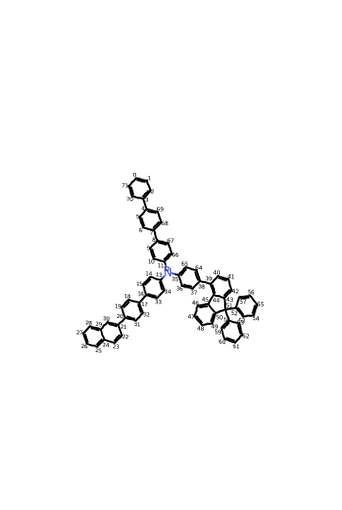 c1ccc(-c2ccc(-c3ccc(N(c4ccc(-c5ccc(-c6ccc7ccccc7c6)cc5)cc4)c4ccc(-c5cccc6c5-c5ccccc5C6(c5ccccc5)c5ccccc5)cc4)cc3)cc2)cc1